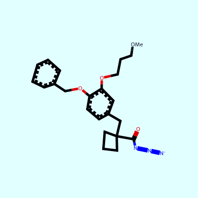 COCCCOc1cc(CC2(C(=O)N=[N+]=[N-])CCC2)ccc1OCc1ccccc1